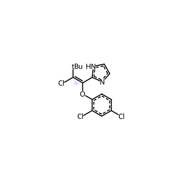 CC(C)(C)/C(Cl)=C(/Oc1ccc(Cl)cc1Cl)c1ncc[nH]1